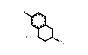 Cl.N[C@H]1CCc2cc(F)ccc2C1